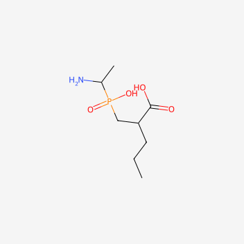 CCCC(CP(=O)(O)C(C)N)C(=O)O